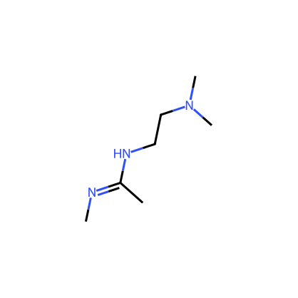 C/N=C(\C)NCCN(C)C